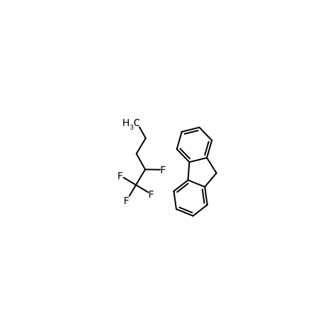 CCCC(F)C(F)(F)F.c1ccc2c(c1)Cc1ccccc1-2